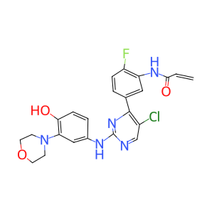 C=CC(=O)Nc1cc(-c2nc(Nc3ccc(O)c(N4CCOCC4)c3)ncc2Cl)ccc1F